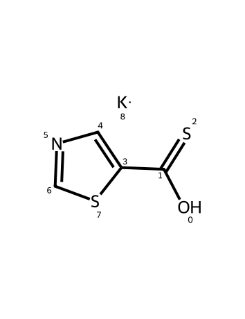 OC(=S)c1cncs1.[K]